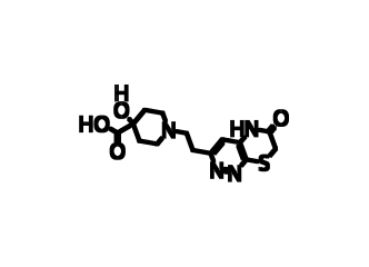 O=C1CSc2nnc(CCN3CCC(O)(C(=O)O)CC3)cc2N1